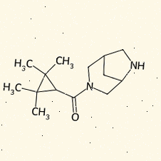 CC1(C)C(C(=O)N2CC3CNC(C3)C2)C1(C)C